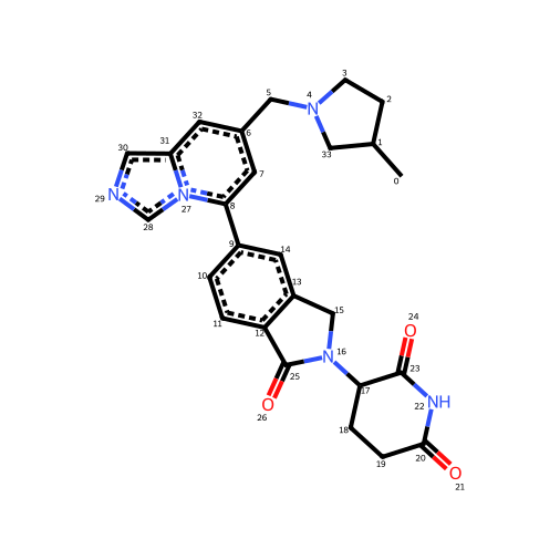 CC1CCN(Cc2cc(-c3ccc4c(c3)CN(C3CCC(=O)NC3=O)C4=O)n3cncc3c2)C1